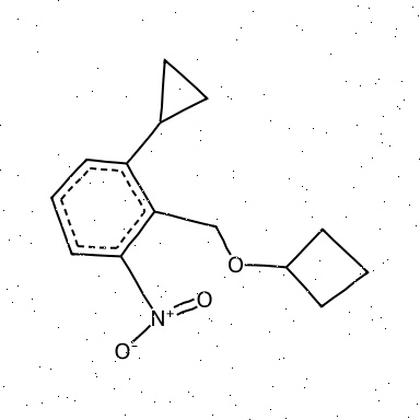 O=[N+]([O-])c1cccc(C2CC2)c1COC1CCC1